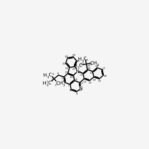 CC(C)(C)Cc1cc2ccnc3c4cc5ccccc5c(C(C)(C)C)c4n4c5ccccc5c1c4c23